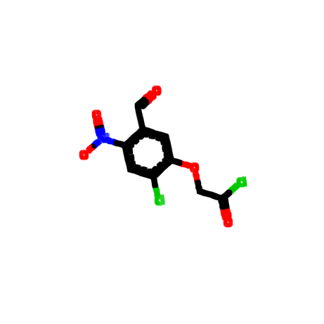 O=Cc1cc(OCC(=O)Cl)c(Cl)cc1[N+](=O)[O-]